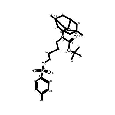 Cc1ccc(S(=O)(=O)OCCCCN(C(=O)OC(C)(C)C)C23CC4CC(C)(CC(C)(C4)C2)C3)cc1